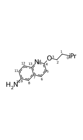 CC(C)CCOc1ccc2cc(N)ccc2n1